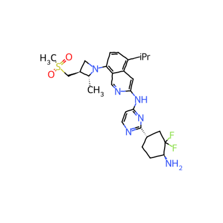 CC(C)c1ccc(N2C[C@H](CS(C)(=O)=O)[C@H]2C)c2cnc(Nc3ccnc([C@H]4CC[C@H](N)C(F)(F)C4)n3)cc12